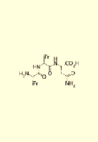 CC(C)[C@H](N)C(=O)N[C@H](C(=O)N[C@@H](CC(N)=O)C(=O)O)C(C)C